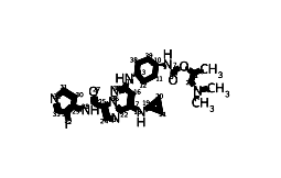 CC(CN(C)C)OC(=O)N[C@H]1CC[C@H](Nc2cc(NC3CC3)c3ncc(C(=O)Nc4ccncc4F)n3n2)CC1